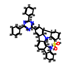 O=S1(=O)c2cccc3c4cc(-c5nc(-c6ccccc6)nc(-c6ccccc6)n5)cc5c6ccc7c8ccccc8n1c7c6n(c23)c45